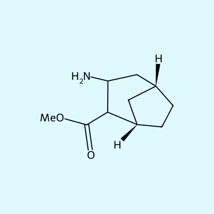 COC(=O)C1C(N)C[C@@H]2CC[C@H]1C2